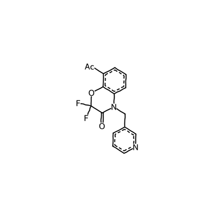 CC(=O)c1cccc2c1OC(F)(F)C(=O)N2Cc1cccnc1